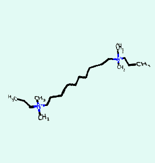 CCC[N+](C)(C)CCCCCCCCCC[N+](C)(C)CCC